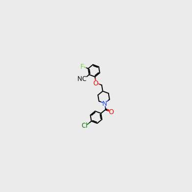 N#Cc1c(F)cccc1OCC1CCN(C(=O)c2ccc(Cl)cc2)CC1